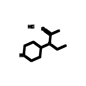 CCN(C(C)=O)C1CCNCC1.Cl